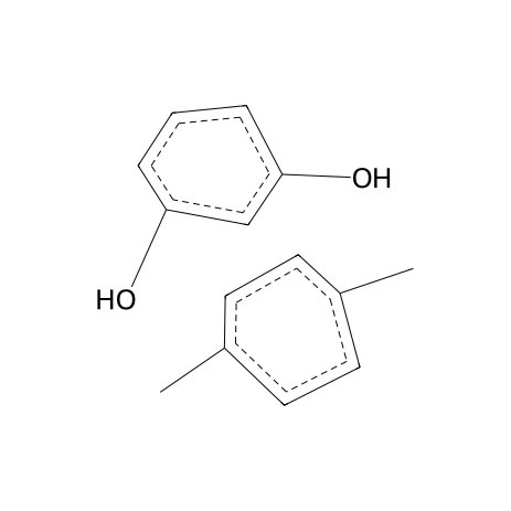 Cc1ccc(C)cc1.Oc1cccc(O)c1